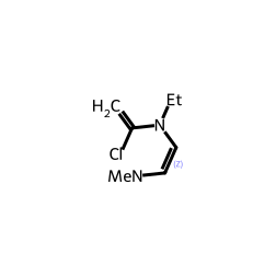 C=C(Cl)N(/C=C\NC)CC